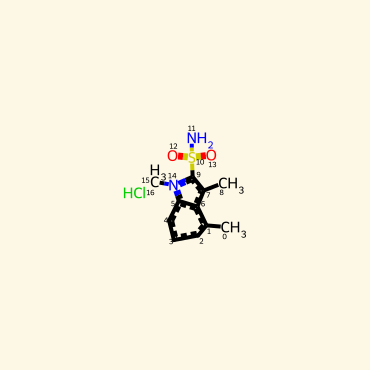 Cc1cccc2c1c(C)c(S(N)(=O)=O)n2C.Cl